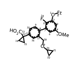 CCOc1cc(OC)cc(-c2ccc(C3(C(=O)O)CC3)cc2COC2CC2)c1F